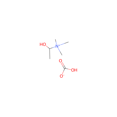 CC(O)[N+](C)(C)C.O=C([O-])O